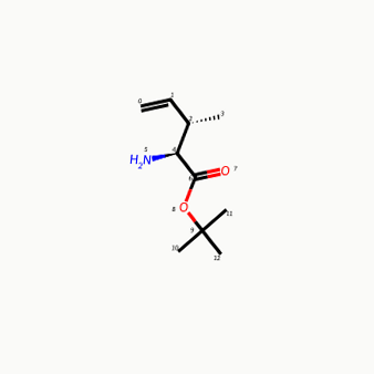 C=C[C@H](C)[C@H](N)C(=O)OC(C)(C)C